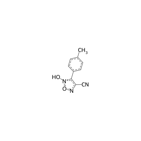 Cc1ccc(-c2c(C#N)no[n+]2O)cc1